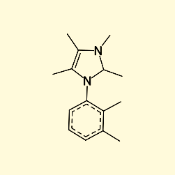 CC1=C(C)N(c2cccc(C)c2C)C(C)N1C